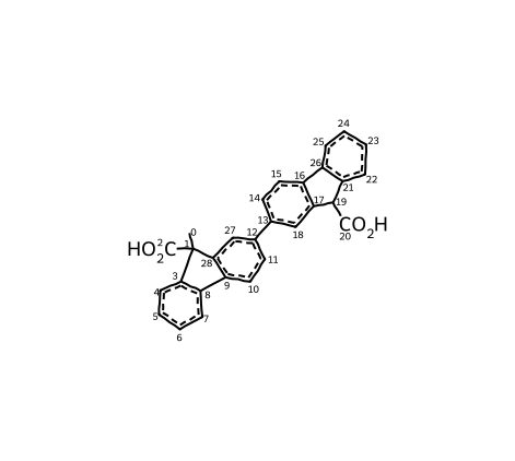 CC1(C(=O)O)c2ccccc2-c2ccc(-c3ccc4c(c3)C(C(=O)O)c3ccccc3-4)cc21